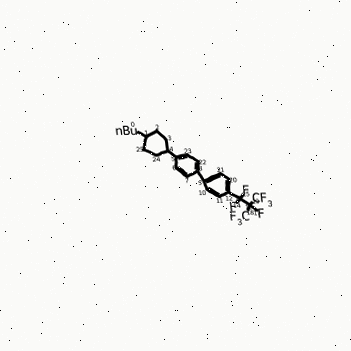 CCCCC1CCC(c2ccc(-c3ccc(C(F)(F)C(F)(C(F)(F)F)C(F)(F)F)cc3)cc2)CC1